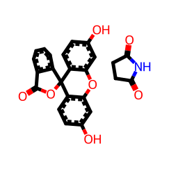 O=C1CCC(=O)N1.O=C1OC2(c3ccc(O)cc3Oc3cc(O)ccc32)c2ccccc21